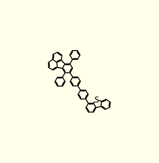 c1ccc(-c2cc(-c3ccc(-c4ccc(-c5cccc6c5sc5ccccc56)cc4)cc3)c(-c3ccccc3)c3c2-c2cccc4cccc-3c24)cc1